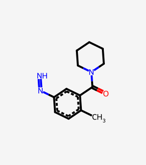 Cc1ccc(N=N)cc1C(=O)N1CCCCC1